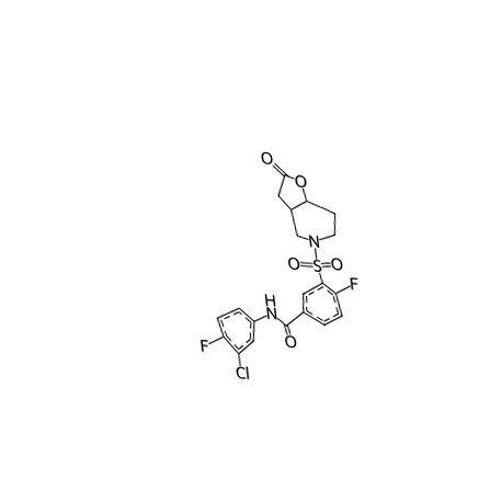 O=C1CC2CN(S(=O)(=O)c3cc(C(=O)Nc4ccc(F)c(Cl)c4)ccc3F)CCC2O1